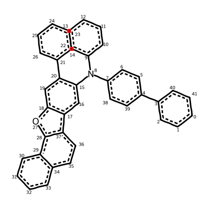 c1ccc(-c2ccc(N(c3ccccc3)c3cc4c(cc3-c3ccccc3)oc3c5ccccc5ccc43)cc2)cc1